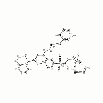 O=S(=O)(c1ccc(CN(CCCCNCc2ccccn2)C2CCCc3cccnc32)cc1)N(Cc1ccccc1)CC1CC1